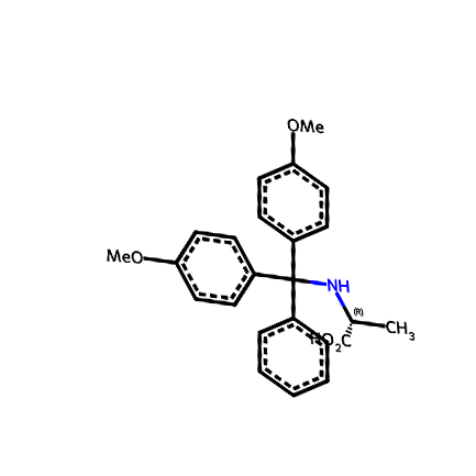 COc1ccc(C(N[C@H](C)C(=O)O)(c2ccccc2)c2ccc(OC)cc2)cc1